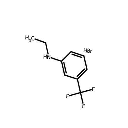 Br.CCNc1cccc(C(F)(F)F)c1